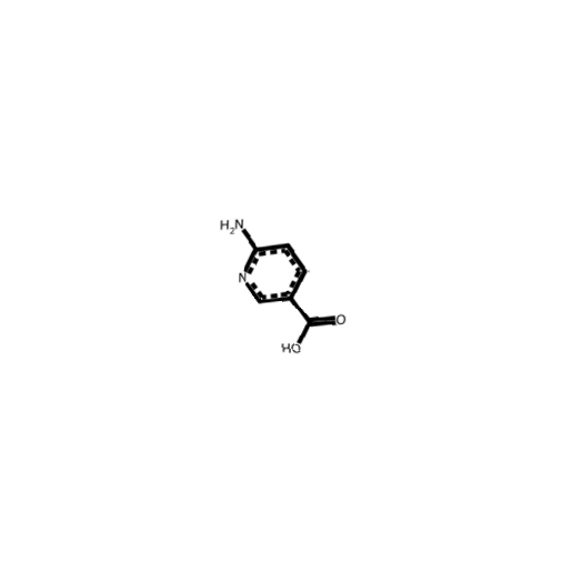 Nc1c[c]c(C(=O)O)cn1